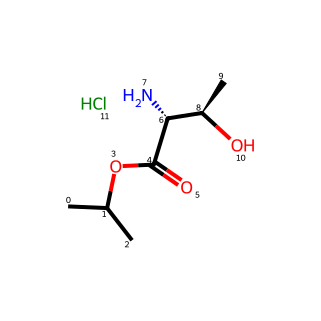 CC(C)OC(=O)[C@H](N)[C@@H](C)O.Cl